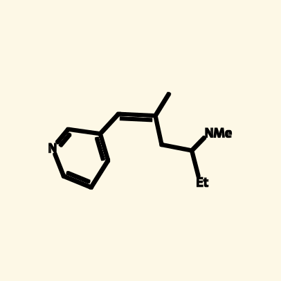 CCC(CC(C)=Cc1cccnc1)NC